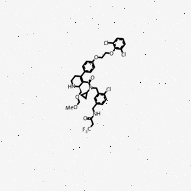 COCOC[C@H]1NCCC(c2ccc(OCCOc3c(Cl)cccc3Cl)cc2)=C1C(=O)N(Cc1cc(CNC(=O)CC(F)(F)F)ccc1Cl)C1CC1